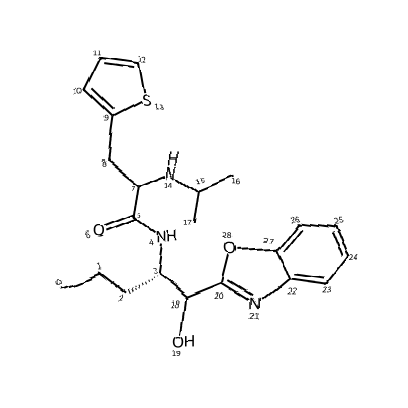 CCC[C@H](NC(=O)C(Cc1cccs1)NC(C)C)C(O)c1nc2ccccc2o1